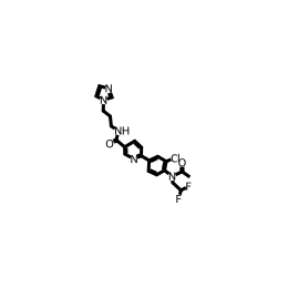 CC(=O)N(CC(F)F)c1ccc(-c2ccc(C(=O)NCCCn3ccnc3)cn2)cc1Cl